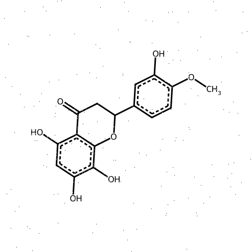 COc1ccc(C2CC(=O)c3c(O)cc(O)c(O)c3O2)cc1O